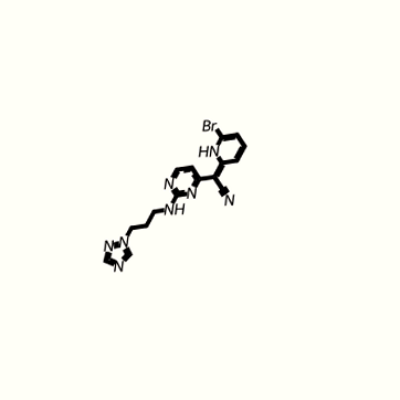 N#CC(=C1C=CC=C(Br)N1)c1ccnc(NCCCn2cncn2)n1